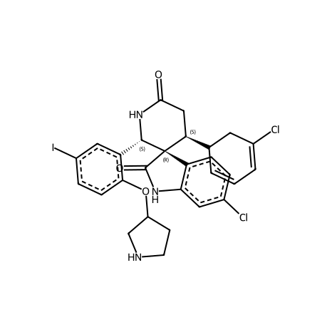 O=C1C[C@@H](C2C=CC=C(Cl)C2)[C@]2(C(=O)Nc3cc(Cl)ccc32)[C@H](c2cc(I)ccc2OC2CCNC2)N1